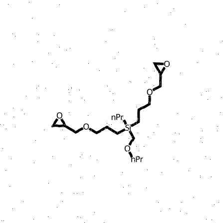 CCCOC[Si](CCC)(CCCOCC1CO1)CCCOCC1CO1